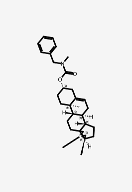 C[C@H]1[C@H]2CC[C@H]3[C@@H]4CC=C5C[C@@H](OC(=O)N(C)Cc6ccccc6)CC[C@]5(C)[C@H]4CCC23CN1C